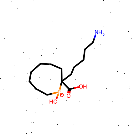 NCCCCCC1(C(=O)O)CCCCCCCP1(=O)O